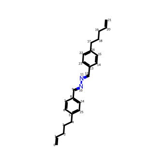 C=CCCCc1ccc(/C=N/N=C/c2ccc(CCCC=C)cc2)cc1